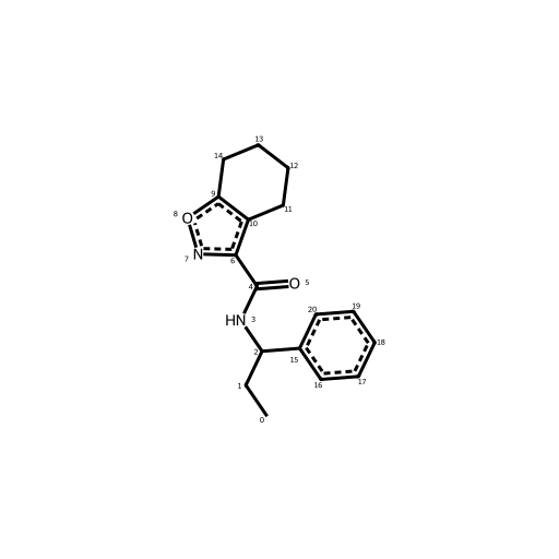 CCC(NC(=O)c1noc2c1CCCC2)c1ccccc1